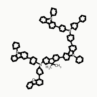 CC1(C)c2cc(-c3ccc4c(c3)c3cc(-c5ccc(N(c6ccc(-c7ccccc7)cc6)c6ccc(-c7ccc8c9ccccc9n(-c9ccccc9)c8c7)cc6)cc5)ccc3n4-c3ccccc3)ccc2-c2ccc(N(c3ccc(-c4ccc5c(c4)c4ccccc4n5-c4ccccc4)cc3)c3ccc(-c4cccc5c4oc4ccccc45)cc3)cc21